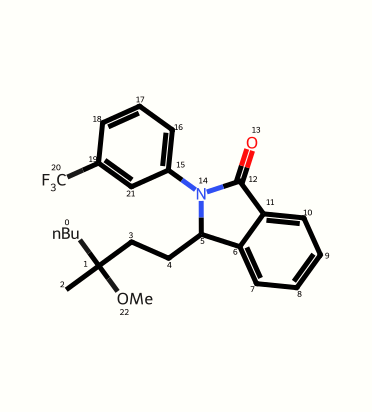 CCCCC(C)(CCC1c2ccccc2C(=O)N1c1cccc(C(F)(F)F)c1)OC